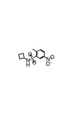 Cc1ccc([N+](=O)[O-])cc1S(=O)(=O)NC1CCC1